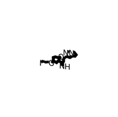 N=c1cc(-c2cc3cccn3cn2)oc2ccc(OCCCI)cc12